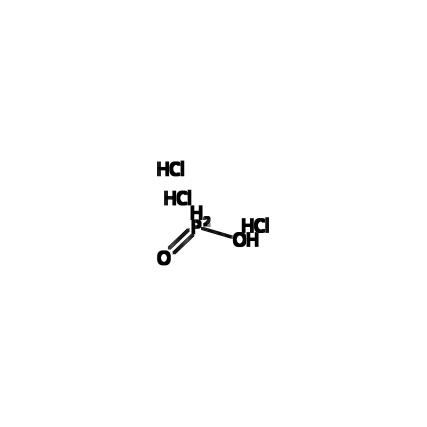 Cl.Cl.Cl.O=[PH2]O